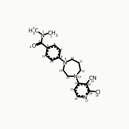 CN(C)C(=O)c1ccc(N2CCCN(c3ccnc(Cl)c3C#N)CC2)cc1